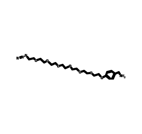 [N-]=[N+]=NCCOCCOCCOCCOCCOCCOCCOc1ccc(CN)cc1